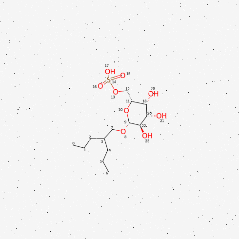 CCCC(CCC)CO[C@@H]1O[C@H](COS(=O)(=O)O)[C@H](O)[C@H](O)[C@H]1O